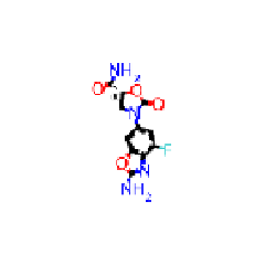 NC(=O)[C@H]1CN(c2cc(F)c3nc(N)oc3c2)C(=O)O1